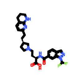 O=C(N[C@H](CCN1CC[C@H](CCc2ccc3c(n2)NCCC3)C1)C(=O)O)c1ccc2cnn(C(F)F)c2c1